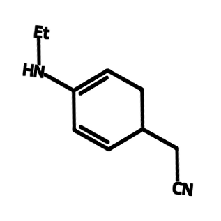 CCNC1=CCC(CC#N)C=C1